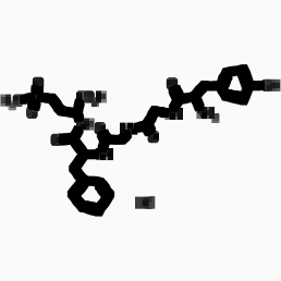 CS(=O)(=O)CCC(NC(=O)C(Cc1ccccc1)NC(=O)CNC(=O)CNC(=O)C(N)Cc1ccc(O)cc1)C(=O)O.Cl